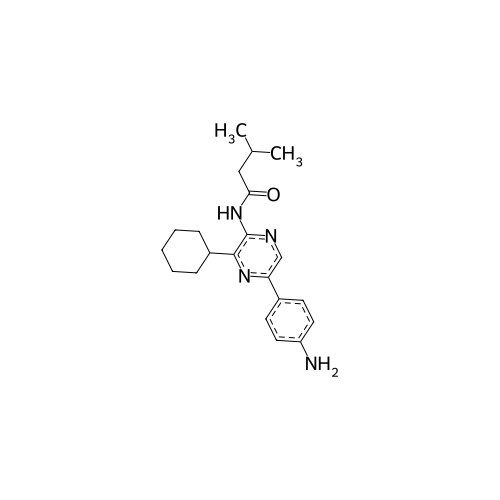 CC(C)CC(=O)Nc1ncc(-c2ccc(N)cc2)nc1C1CCCCC1